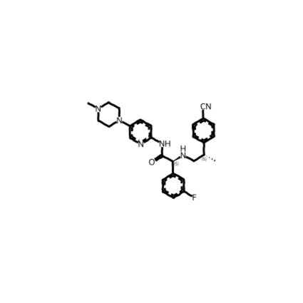 C[C@H](CN[C@H](C(=O)Nc1ccc(N2CCN(C)CC2)cn1)c1cccc(F)c1)c1ccc(C#N)cc1